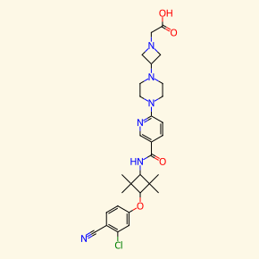 CC1(C)C(NC(=O)c2ccc(N3CCN(C4CN(CC(=O)O)C4)CC3)nc2)C(C)(C)C1Oc1ccc(C#N)c(Cl)c1